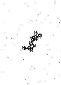 Cn1ccc(-c2cc(-c3ccc(N4C[C@@H]5C[C@@](C)(NC(=O)c6ncccc6F)C[C@@H]5C4)nc3)c3c(C#N)cnn3c2)n1